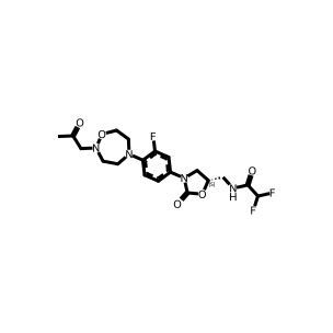 CC(=O)CN1CCN(c2ccc(N3C[C@H](CNC(=O)C(F)F)OC3=O)cc2F)CCO1